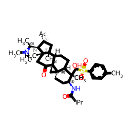 CC(=O)[C@@H]1C[C@@]2(C)[C@@H]3CC[C@H]4[C@](C)(C(O)S(=O)(=O)c5ccc(C)cc5)[C@@H](NC(=O)C(C)C)CC[C@@]45C[C@@]35C(=O)C[C@]2(C)[C@H]1[C@H](C)N(C)C